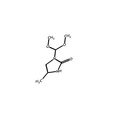 COC(OC)N1CC(C)NC1=O